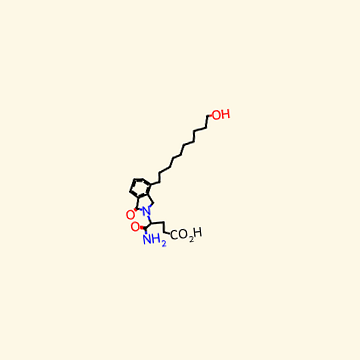 NC(=O)C(CCC(=O)O)N1Cc2c(CCCCCCCCCCO)cccc2C1=O